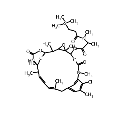 C/C1=C\C=C\C(C)C2(O)CC(OC(=O)N2)C(C)C2OC2(C)C(OC(=O)C(C)N(C)C(=O)CCS(C)(C)C)CC(=O)N(C)c2cc(cc(C)c2Cl)C1